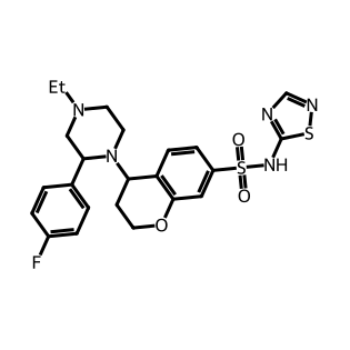 CCN1CCN(C2CCOc3cc(S(=O)(=O)Nc4ncns4)ccc32)C(c2ccc(F)cc2)C1